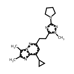 Cc1nc2c(C3CC3)cc(CCc3nc(N4CCCC4)nn3C)nn2c1C